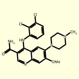 COc1cc2ncc(C(N)=O)c(Nc3cccc(Cl)c3Cl)c2cc1N1CCN(C)CC1